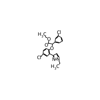 CCOC(=O)C(Oc1ccc(Cl)cc1-c1ccn(CC)n1)c1cccc(Cl)c1